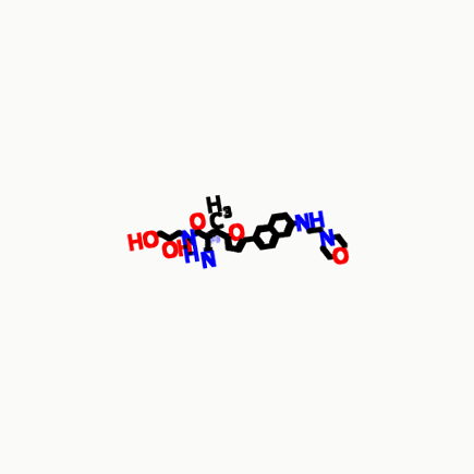 C/C(=C(/C#N)C(=O)NCC(O)CO)c1ccc(-c2ccc3cc(NCCN4CCOCC4)ccc3c2)o1